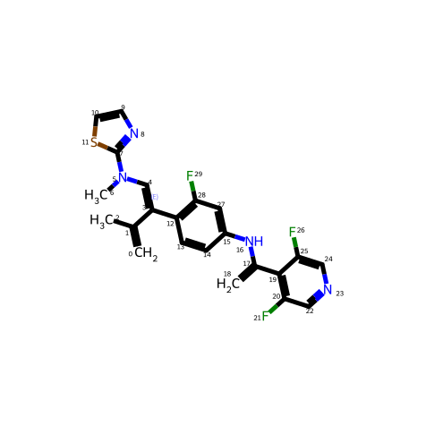 C=C(C)/C(=C\N(C)c1nccs1)c1ccc(NC(=C)c2c(F)cncc2F)cc1F